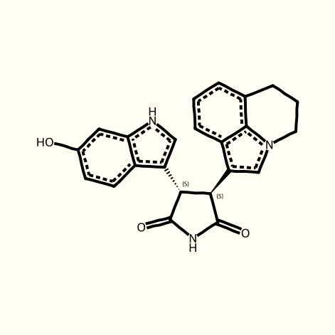 O=C1NC(=O)[C@H](c2cn3c4c(cccc24)CCC3)[C@H]1c1c[nH]c2cc(O)ccc12